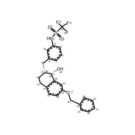 O=S(=O)(Nc1cccc(C[C@H]2CCc3ccc(OCc4ccccc4)cc3[C@H]2O)c1)C(F)(F)F